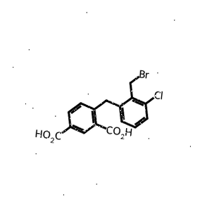 O=C(O)c1ccc(Cc2cccc(Cl)c2CBr)c(C(=O)O)c1